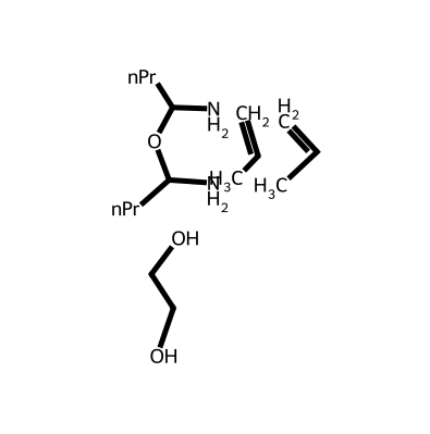 C=CC.C=CC.CCCC(N)OC(N)CCC.OCCO